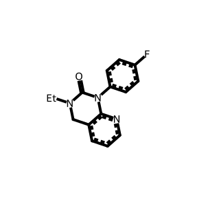 CCN1Cc2cccnc2N(c2ccc(F)cc2)C1=O